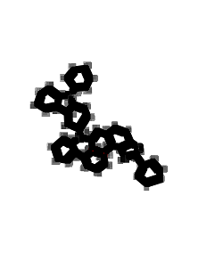 c1ccc(-c2nc3c(ccc4cc(N(c5ccc6c(c5)c5ccccc5n6-c5ccccc5)c5ccccc5-c5ccccc5)ccc43)o2)cc1